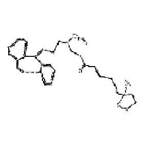 CN(CCC=C1c2ccccc2C=Cc2ccccc21)COC(=O)CCCC[C@]1(C)CCSS1